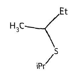 [CH2]CC(C)SC(C)C